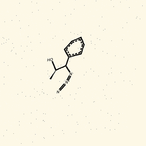 C[C@@H](O)C(N=[N+]=[N-])c1ccccc1